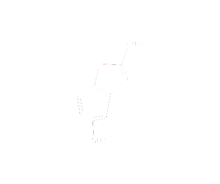 CC(=O)Nc1ccc2oc(C=O)cc2c1